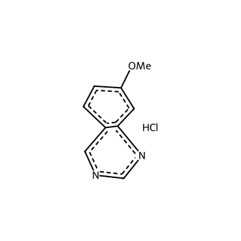 COc1ccc2cncnc2c1.Cl